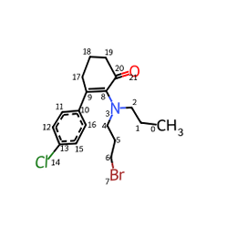 CCCN(CCCBr)C1=C(c2ccc(Cl)cc2)CCCC1=O